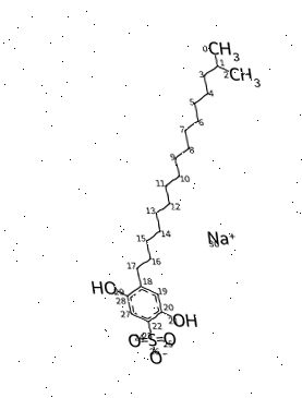 CC(C)CCCCCCCCCCCCCCCc1cc(O)c(S(=O)(=O)[O-])cc1O.[Na+]